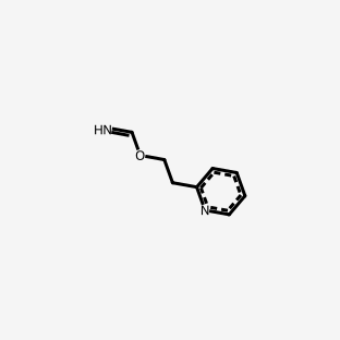 N=COCCc1ccccn1